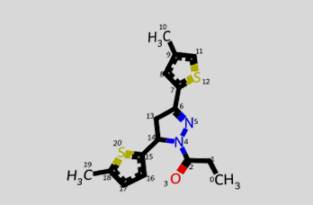 CCC(=O)N1N=C(c2cc(C)cs2)CC1c1ccc(C)s1